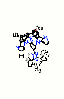 Cc1cccc(C)c1-c1nc(-c2cc(-n3c4ccccc4c4ncccc43)c(-n3c4ccc(C(C)(C)C)cc4c4cc(C(C)(C)C)ccc43)c(-n3c4ccccc4c4ncccc43)c2)nc(-c2c(C)cccc2C)n1